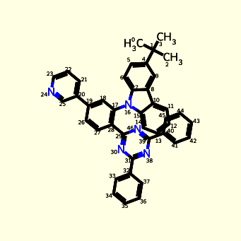 CC(C)(C)c1ccc2c(c1)c1ccccc1n2-c1cc(-c2cccnc2)ccc1-c1nc(-c2ccccc2)nc(-c2ccccc2)n1